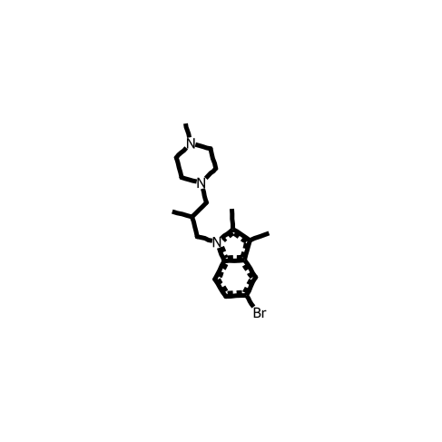 Cc1c(C)n(CC(C)CN2CCN(C)CC2)c2ccc(Br)cc12